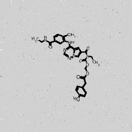 CCNC(=O)c1ccc(C)c(Nc2ncnn3cc(C(=O)N(CC)C(=O)OCOC(=O)Cc4ccc(O)cc4)cc23)c1